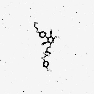 Cc1ccc(Nc2nc(CSc3nc(N)c(C#N)c(-c4ccc(OCCO)cc4)c3C#N)cs2)cc1